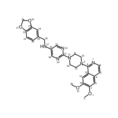 COc1cc2ccnc(N3CCN(c4ncc(NCc5ccc6c(c5)OCO6)cn4)CC3)c2cc1OC